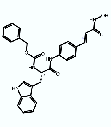 O=C(/C=C/c1ccc(NC(=O)[C@H](Cc2c[nH]c3ccccc23)NC(=O)OCc2ccccc2)cc1)NO